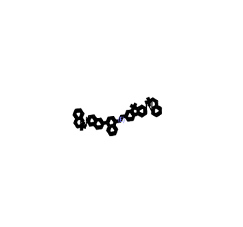 CC1(C)c2cc(/C=C/c3ccc(-c4ccc5cc(N6c7ccccc7CCC6(C)C)ccc5c4)c4ccccc34)ccc2-c2ccc(N3c4ccccc4CCC3(C)C)cc21